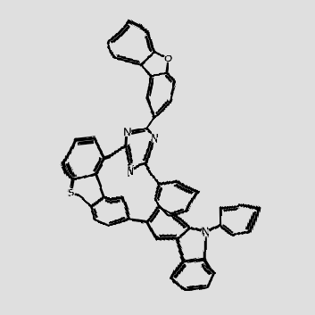 c1ccc(-c2nc(-c3ccc4oc5ccccc5c4c3)nc(-c3cccc4sc5ccc(-c6ccc7c(c6)c6ccccc6n7-c6ccccc6)cc5c34)n2)cc1